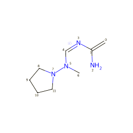 C=C(N)/N=C\N(C)N1CCCC1